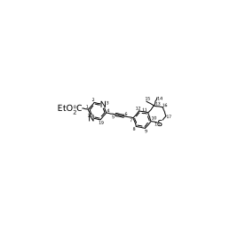 CCOC(=O)c1cnc(C#Cc2ccc3c(c2)C(C)(C)CCS3)cn1